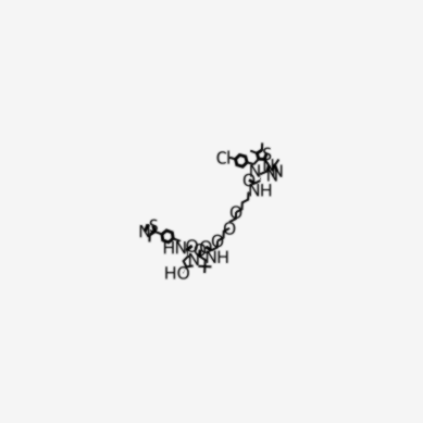 Cc1ncsc1-c1ccc(CNC(=O)[C@@H]2C[C@@H](O)CN2C(=O)C(NC(=O)COCCOCCOCCCCNC(=O)C[C@@H]2N=C(c3ccc(Cl)cc3)c3c(sc(C)c3C)-n3c(C)nnc32)C(C)(C)C)cc1